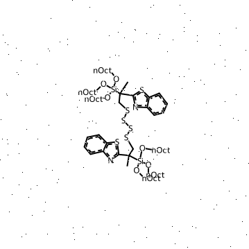 CCCCCCCCO[Si](OCCCCCCCC)(OCCCCCCCC)C(C)(CSSSSCC(C)(c1nc2ccccc2s1)[Si](OCCCCCCCC)(OCCCCCCCC)OCCCCCCCC)c1nc2ccccc2s1